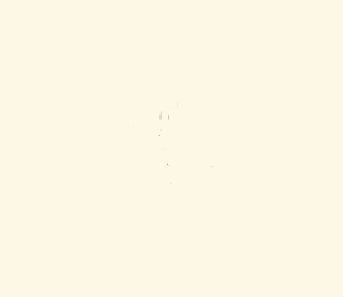 CCOC(C1[CH]CCCCC1)[Si](C(C)C)(C(C)C)C(C)C